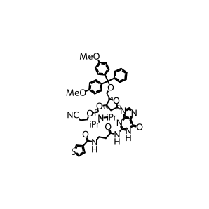 COc1ccc(C(OC[C@H]2O[C@@H](n3cnc4c(=O)[nH]c(NC(=O)CCNC(=O)c5ccsc5)nc43)C[C@H]2OP(OCCC#N)N(C(C)C)C(C)C)(c2ccccc2)c2ccc(OC)cc2)cc1